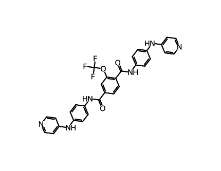 O=C(Nc1ccc(Nc2ccncc2)cc1)c1ccc(C(=O)Nc2ccc(Nc3ccncc3)cc2)c(OC(F)(F)F)c1